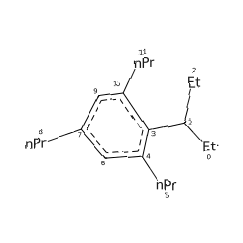 C[CH]C(CC)c1c(CCC)cc(CCC)cc1CCC